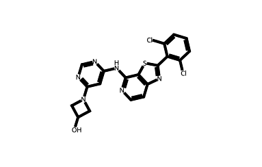 OC1CN(c2cc(Nc3nccc4nc(-c5c(Cl)cccc5Cl)sc34)ncn2)C1